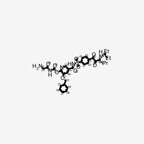 CCN(CC)N[C@H](C(=O)C(=O)c1ccc(S(=O)(=O)NC(=O)c2cnc(OC(=O)NC(=O)CN)c(OCc3ccccc3)c2)cc1)C(C)C